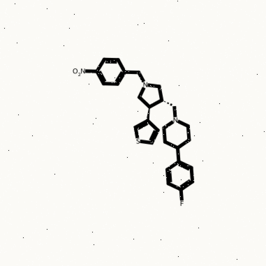 O=[N+]([O-])c1ccc(CN2C[C@H](CN3CCC(c4ccc(F)cc4)CC3)[C@@H](c3ccsc3)C2)cc1